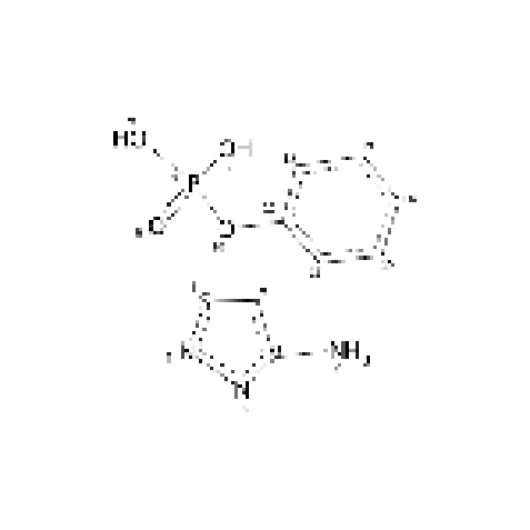 Nc1csnn1.O=P(O)(O)Oc1ccccc1